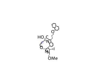 COCCn1nc2c(c1C1CC1)-c1cccc3c(CCCOc4cccc5ccccc45)c(C(=O)O)n(c13)C/C=C\COC2